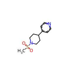 CS(=O)(=O)N1CCC(c2ccncc2)CC1